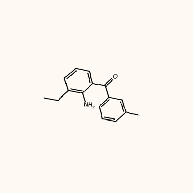 CCc1cccc(C(=O)c2cccc(C)c2)c1N